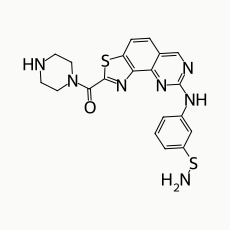 NSc1cccc(Nc2ncc3ccc4sc(C(=O)N5CCNCC5)nc4c3n2)c1